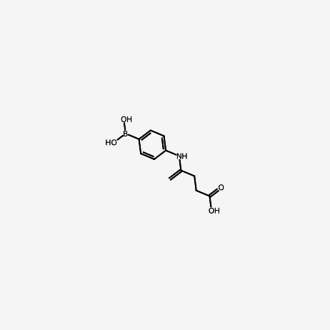 C=C(CCC(=O)O)Nc1ccc(B(O)O)cc1